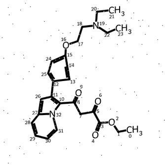 CCOC(=O)C(=O)CC(=O)c1c(-c2ccc(OCCN(CC)CC)cc2)cc2ccccn12